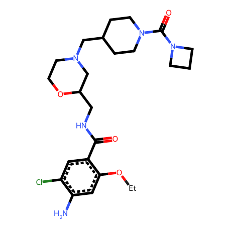 CCOc1cc(N)c(Cl)cc1C(=O)NCC1CN(CC2CCN(C(=O)N3CCC3)CC2)CCO1